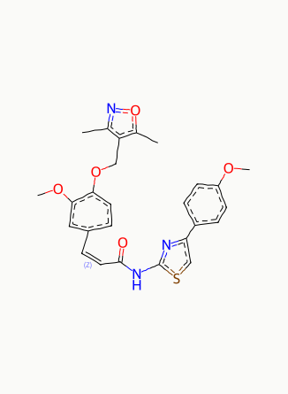 COc1ccc(-c2csc(NC(=O)/C=C\c3ccc(OCc4c(C)noc4C)c(OC)c3)n2)cc1